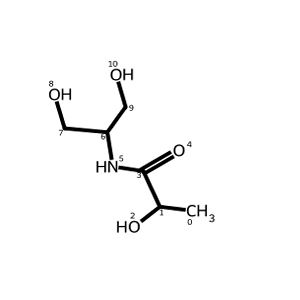 CC(O)C(=O)NC(CO)CO